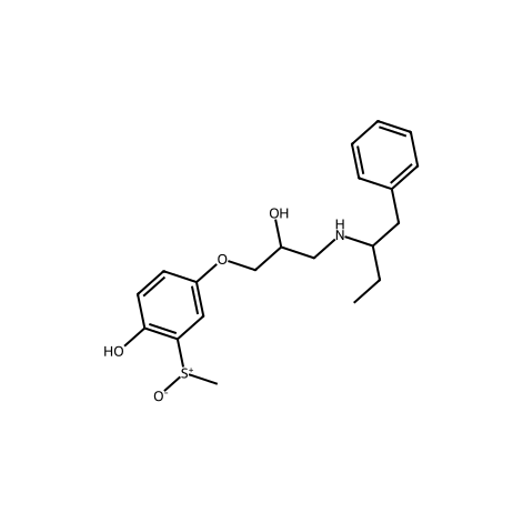 CCC(Cc1ccccc1)NCC(O)COc1ccc(O)c([S+](C)[O-])c1